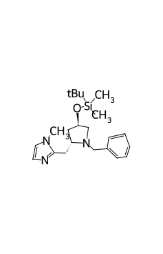 Cn1ccnc1C[C@@H]1C[C@@H](O[Si](C)(C)C(C)(C)C)CN1Cc1ccccc1